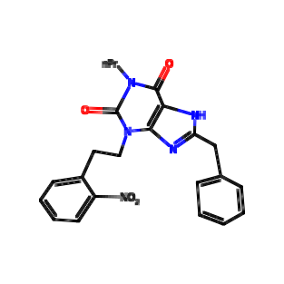 CCCn1c(=O)c2[nH]c(Cc3ccccc3)nc2n(CCc2ccccc2[N+](=O)[O-])c1=O